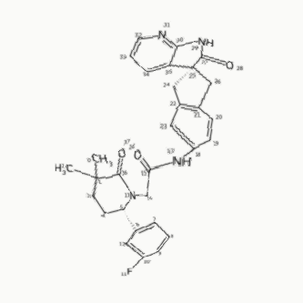 CC1(C)CC[C@@H](c2cccc(F)c2)N(CC(=O)Nc2ccc3c(c2)C[C@@]2(C3)C(=O)Nc3ncccc32)C1=O